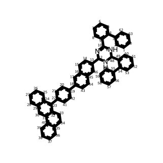 c1ccc(-c2ccccc2C2=NC(c3ccc4cc(-c5ccc(-c6c7ccccc7cc7c6ccc6ccccc67)cc5)ccc4c3)NC(c3ccccc3-c3ccccc3)N2)cc1